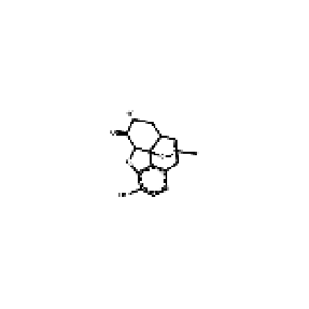 CN1CCC23c4c5ccc(O)c4OC2C(=O)CCC3C1C5.Cl